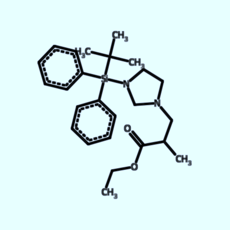 CCOC(=O)C(C)CN1CCN([Si](c2ccccc2)(c2ccccc2)C(C)(C)C)C1